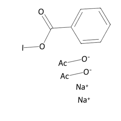 CC(=O)[O-].CC(=O)[O-].O=C(OI)c1ccccc1.[Na+].[Na+]